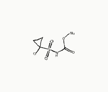 CC(C)(C)OC(=O)NS(=O)(=O)C1(Cl)CC1